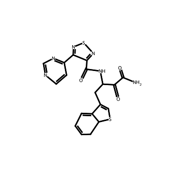 NC(=O)C(=O)C(CC1=CSC2CC=CC=C12)NC(=O)c1nsnc1-c1ccncn1